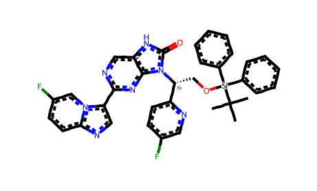 CC(C)(C)[Si](OC[C@H](c1ccc(F)cn1)n1c(=O)[nH]c2cnc(-c3cnc4ccc(F)cn34)nc21)(c1ccccc1)c1ccccc1